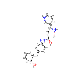 O=C(Nc1ccc(Cc2ccccc2O)cc1)C1CC(c2cccnc2)=NO1